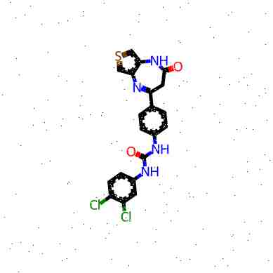 O=C1CC(c2ccc(NC(=O)Nc3ccc(Cl)c(Cl)c3)cc2)=Nc2cscc2N1